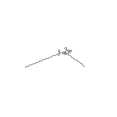 CCCCCCCCCCCCCCCCCCCCOC(=O)CC[C@H](NC(=O)CCCCCCCCCCCC)C(=O)O